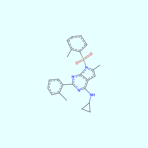 Cc1ccccc1-c1nc(NC2CC2)c2cc(C)n(S(=O)(=O)c3ccccc3C)c2n1